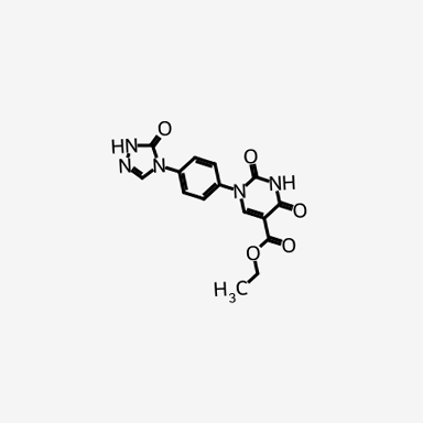 CCOC(=O)c1cn(-c2ccc(-n3cn[nH]c3=O)cc2)c(=O)[nH]c1=O